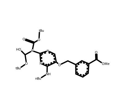 CCCCNc1nc(N(C(=O)OC(C)(C)C)C(O)OC(C)(C)C)ncc1OCc1cccc(C(=O)OC)c1